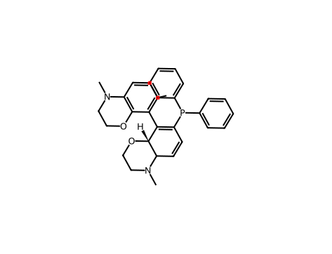 Cc1ccc2c(c1C1=C(P(c3ccccc3)c3ccccc3)C=CC3[C@@H]1OCCN3C)OCCN2C